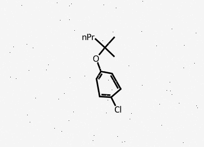 [CH2]CCC(C)(C)Oc1ccc(Cl)cc1